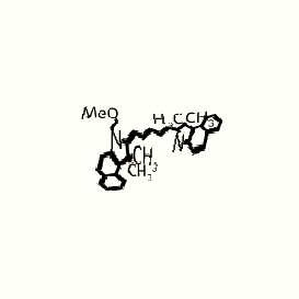 COCCN1/C(=C/C=C/C=C/C2=Nc3ccc4ccccc4c3C2(C)C)C(C)(C)c2c1ccc1ccccc21